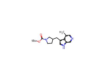 Cc1cncc2[nH]cc(CC3CCN(C(=O)OC(C)(C)C)C3)c12